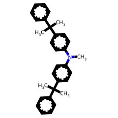 CN(c1ccc(C(C)(C)c2ccccc2)cc1)c1ccc(C(C)(C)c2ccccc2)cc1